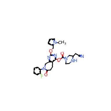 Cn1cccc1COc1nc2c(c(OC(=O)N3CCNC(CC#N)C3)n1)CCC(=O)N(c1ccccc1F)C2